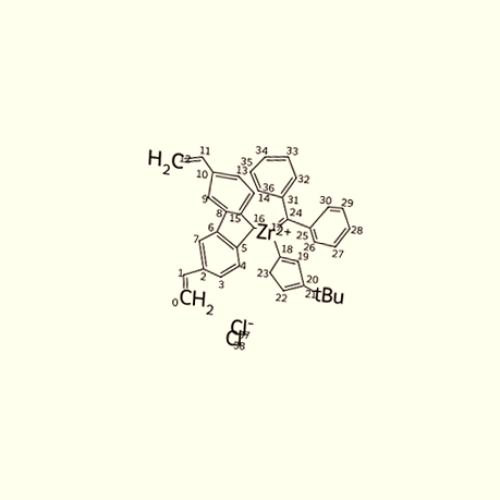 C=Cc1ccc2c(c1)-c1cc(C=C)ccc1[CH]2[Zr+2]([C]1=CC(C(C)(C)C)=CC1)=[C](c1ccccc1)c1ccccc1.[Cl-].[Cl-]